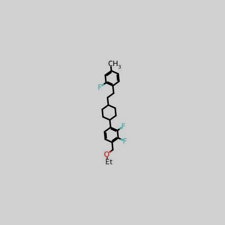 CCOCc1ccc(C2CCC(CCc3ccc(C)cc3F)CC2)c(F)c1F